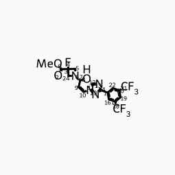 COC(=O)C1(F)CN(C(O)/C=C\n2cnc(-c3cc(C(F)(F)F)cc(C(F)(F)F)c3)n2)C1